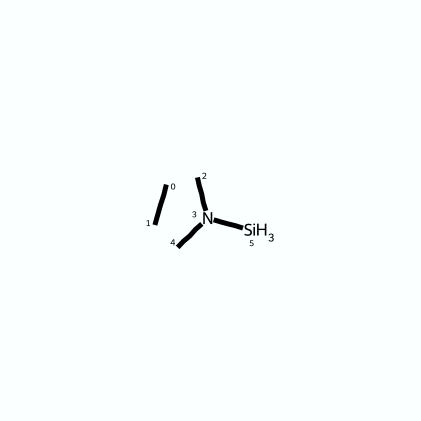 CC.CN(C)[SiH3]